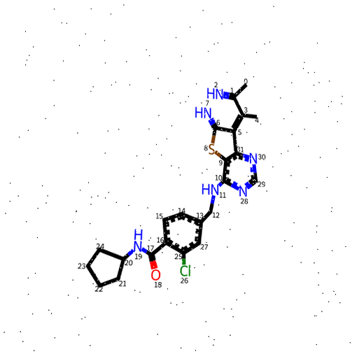 CC(=N)/C(C)=C1\C(=N)Sc2c(NCc3ccc(C(=O)NC4CCCC4)c(Cl)c3)ncnc21